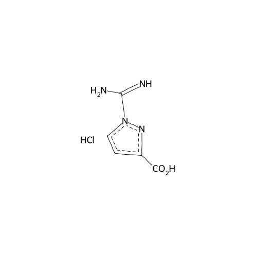 Cl.N=C(N)n1ccc(C(=O)O)n1